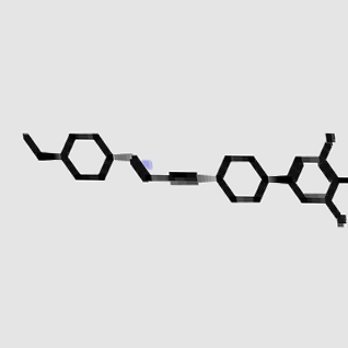 CC[C@H]1CC[C@H](/C=C/C#C[C@H]2CC[C@H](c3cc(F)c(F)c(F)c3)CC2)CC1